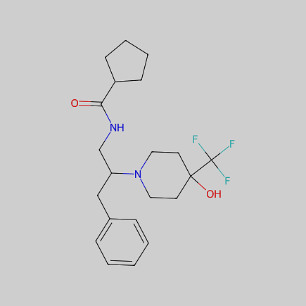 O=C(NCC(Cc1ccccc1)N1CCC(O)(C(F)(F)F)CC1)C1CCCC1